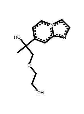 CC(O)(COCCO)c1ccn2ccnc2c1